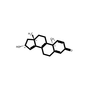 C[C@@]12CCC3=C(CCC4=CC(=O)C=C[C@@]43C)C1=C[C@H](O)C2